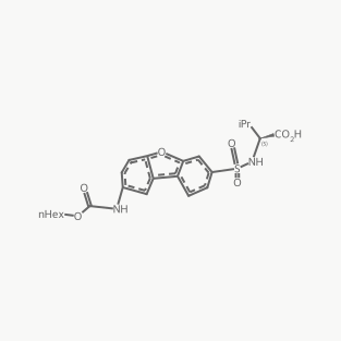 CCCCCCOC(=O)Nc1ccc2oc3cc(S(=O)(=O)N[C@H](C(=O)O)C(C)C)ccc3c2c1